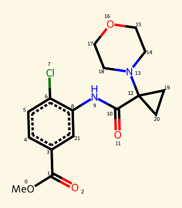 COC(=O)c1ccc(Cl)c(NC(=O)C2(N3CCOCC3)CC2)c1